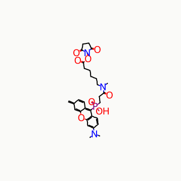 C=c1ccc2c(c1)Oc1cc(N(C)C)ccc1C=2P(=O)(O)CCC(=O)N(C)CCCCCC(=O)ON1C(=O)CCC1=O